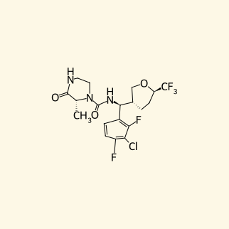 C[C@@H]1C(=O)NCCN1C(=O)N[C@H](c1ccc(F)c(Cl)c1F)[C@H]1CC[C@H](C(F)(F)F)OC1